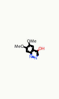 COc1cc2nncc(O)c2cc1OC